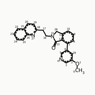 COc1cncc(-c2cccc3c2C(=O)N(CCc2ccc4ccccc4n2)C3)c1